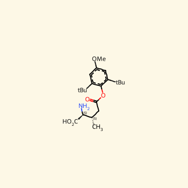 COc1cc(C(C)(C)C)c(OC(=O)C[C@H](C)[C@H](N)C(=O)O)c(C(C)(C)C)c1